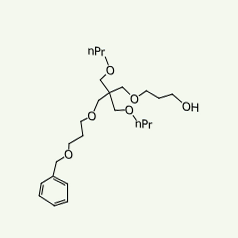 CCCOCC(COCCC)(COCCCO)COCCCOCc1ccccc1